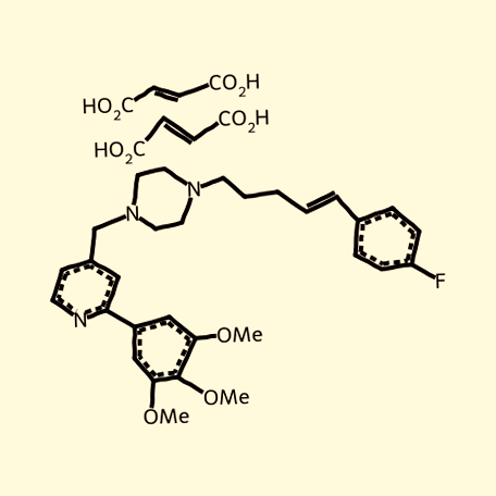 COc1cc(-c2cc(CN3CCN(CCC/C=C/c4ccc(F)cc4)CC3)ccn2)cc(OC)c1OC.O=C(O)/C=C/C(=O)O.O=C(O)/C=C/C(=O)O